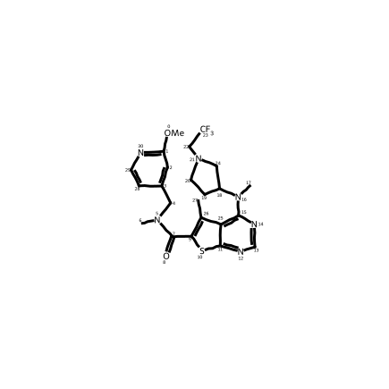 COc1cc(CN(C)C(=O)c2sc3ncnc(N(C)C4CCN(CC(F)(F)F)C4)c3c2C)ccn1